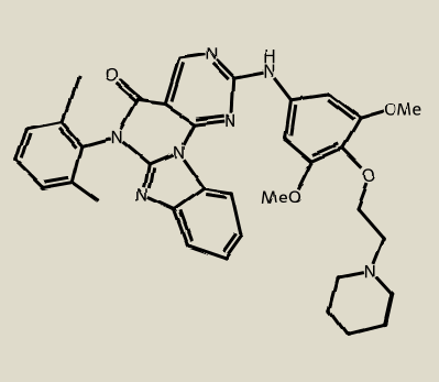 COc1cc(Nc2ncc3c(=O)n(-c4c(C)cccc4C)c4nc5ccccc5n4c3n2)cc(OC)c1OCCN1CCCCC1